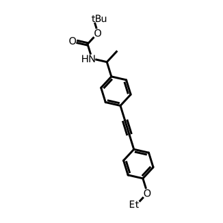 CCOc1ccc(C#Cc2ccc(C(C)NC(=O)OC(C)(C)C)cc2)cc1